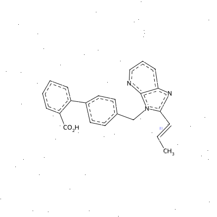 C/C=C/c1nc2cccnc2n1Cc1ccc(-c2ccccc2C(=O)O)cc1